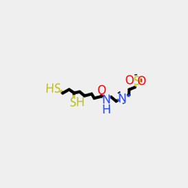 C[N+](C)(CCCS(C)(=O)=O)CCNC(=O)CCCCC(S)CCS